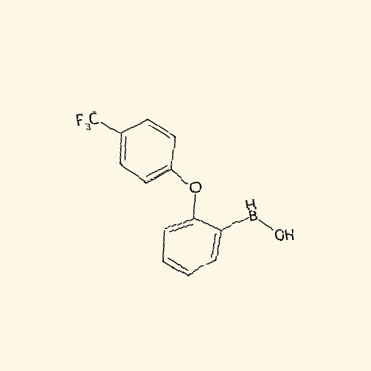 OBc1ccccc1Oc1ccc(C(F)(F)F)cc1